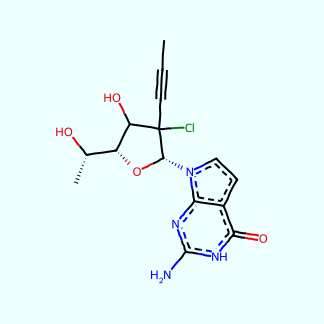 CC#CC1(Cl)C(O)[C@@H]([C@H](C)O)O[C@H]1n1ccc2c(=O)[nH]c(N)nc21